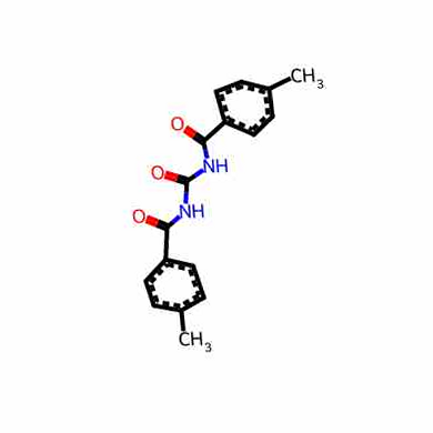 Cc1ccc(C(=O)NC(=O)NC(=O)c2ccc(C)cc2)cc1